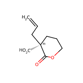 C=CC[C@@]1(C(=O)O)CCCOC1=O